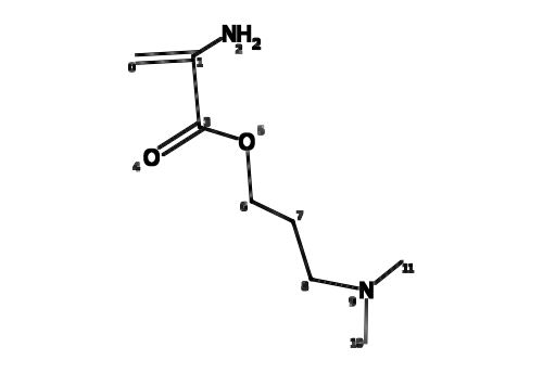 C=C(N)C(=O)OCCCN(C)C